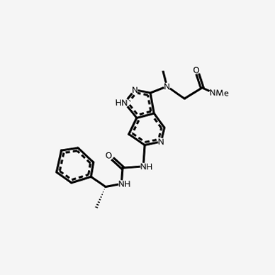 CNC(=O)CN(C)c1n[nH]c2cc(NC(=O)N[C@H](C)c3ccccc3)ncc12